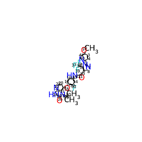 COc1ccc(-n2ncc(C3OC3Nc3ccc(Oc4ccnc5[nH]c(=O)n(C(C)C)c45)c(F)c3)c2C(F)(F)F)nc1